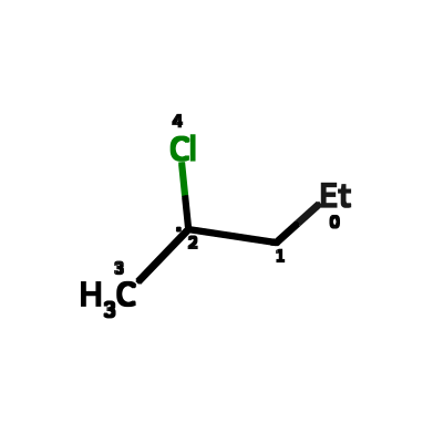 CCC[C](C)Cl